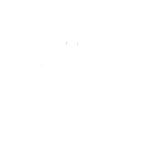 O=Cc1ccc(OC(F)F)c(CC2CCSC(c3cccc(Cl)c3)S2)c1